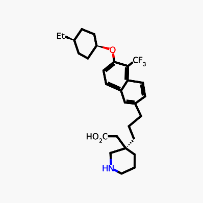 CC[C@H]1CC[C@@H](Oc2ccc3cc(CCC[C@]4(CC(=O)O)CCCNC4)ccc3c2C(F)(F)F)CC1